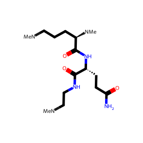 CNCCC[C@@H](NC)C(=O)N[C@H](CCC(N)=O)C(=O)NCCNC